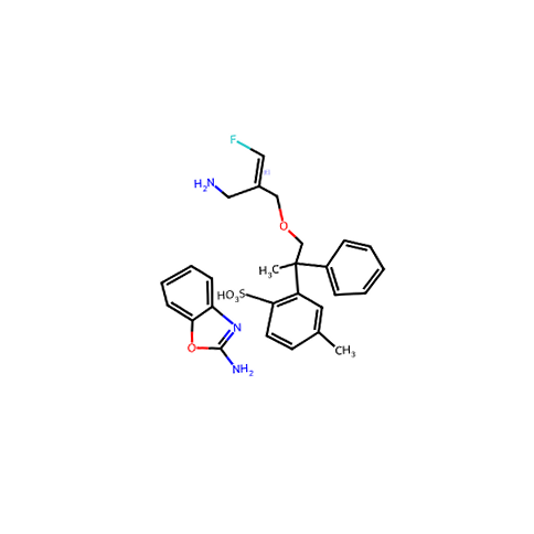 Cc1ccc(S(=O)(=O)O)c(C(C)(COC/C(=C/F)CN)c2ccccc2)c1.Nc1nc2ccccc2o1